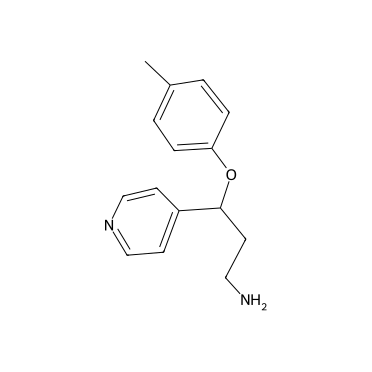 Cc1ccc(OC(CCN)c2ccncc2)cc1